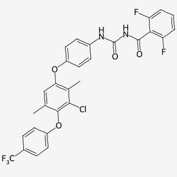 Cc1cc(Oc2ccc(NC(=O)NC(=O)c3c(F)cccc3F)cc2)c(C)c(Cl)c1Oc1ccc(C(F)(F)F)cc1